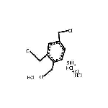 Cl.Cl.Cl.Cl.ClCc1ccc(CCl)c(CCl)c1.[SiH4]